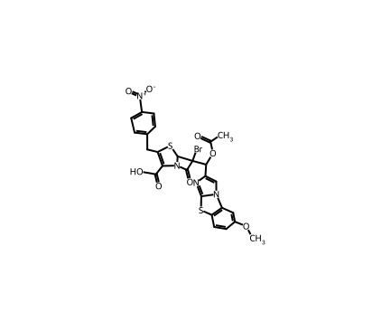 COc1ccc2sc3nc(C(OC(C)=O)C4(Br)C(=O)N5C(C(=O)O)=C(Cc6ccc([N+](=O)[O-])cc6)SC54)cn3c2c1